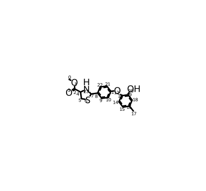 COC(=O)C1CSC(c2ccc(Oc3ccc(C)cc3O)cc2)N1